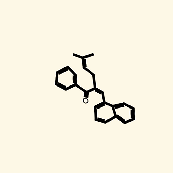 CC(C)=CCC(=Cc1cccc2ccccc12)C(=O)c1ccccc1